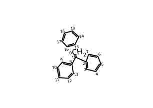 C=C(c1ccccc1)c1ccccc1.c1ccccc1